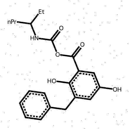 CCCC(CC)NC(=O)OC(=O)c1cc(O)cc(Cc2ccccc2)c1O